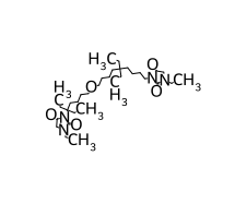 CCN1CC(=O)N(CCCCC(CC)(CC)CCCCOCCCCC(CC)(CC)N2C(=O)CN(CC)C2=O)C1=O